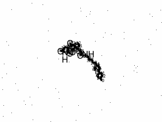 Cc1ccc(N2CCN(CCCCCCNC(=O)COc3cccc4c3C(=O)N(C3CCC(=O)NC3=O)C4=O)CC2)cc1